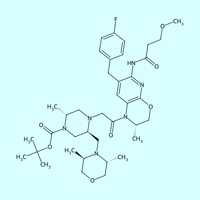 COCCC(=O)Nc1nc2c(cc1Cc1ccc(F)cc1)N(C(=O)CN1C[C@@H](C)N(C(=O)OC(C)(C)C)C[C@@H]1CN1[C@H](C)COC[C@H]1C)[C@@H](C)CO2